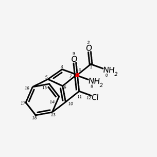 NC(=O)c1cc2c(C(N)=O)c(c1Cl)-c1ccc-2cc1